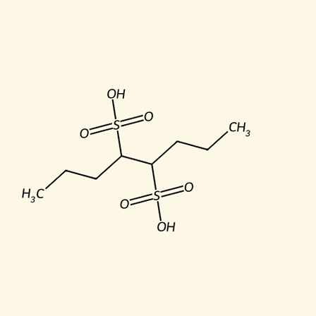 CCCC(C(CCC)S(=O)(=O)O)S(=O)(=O)O